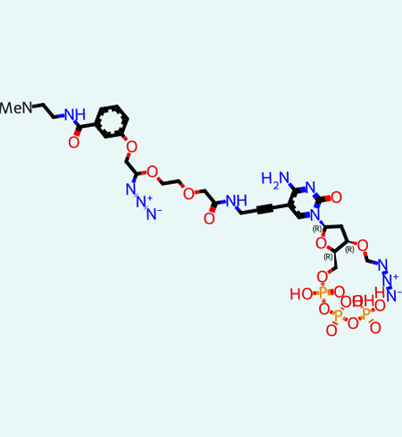 CNCCNC(=O)c1cccc(OCC(N=[N+]=[N-])OCCOCC(=O)NCC#Cc2cn([C@H]3C[C@@H](OCN=[N+]=[N-])[C@@H](COP(=O)(O)OP(=O)(O)OP(=O)(O)O)O3)c(=O)nc2N)c1